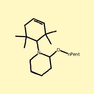 CCCCCOC1CCCCN1C1C(C)(C)C=CCC1(C)C